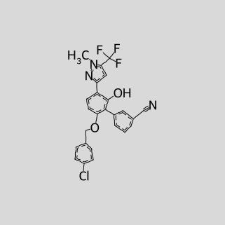 Cn1nc(-c2ccc(OCc3ccc(Cl)cc3)c(-c3cccc(C#N)c3)c2O)cc1C(F)(F)F